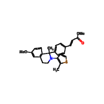 COC(=O)C=Cc1ccc(C2(C)c3ccc(OC)cc3CCN2c2ccsc2C)cc1